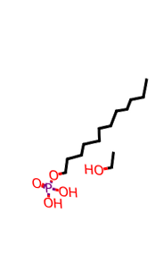 CCCCCCCCCCCCOP(=O)(O)O.CCO